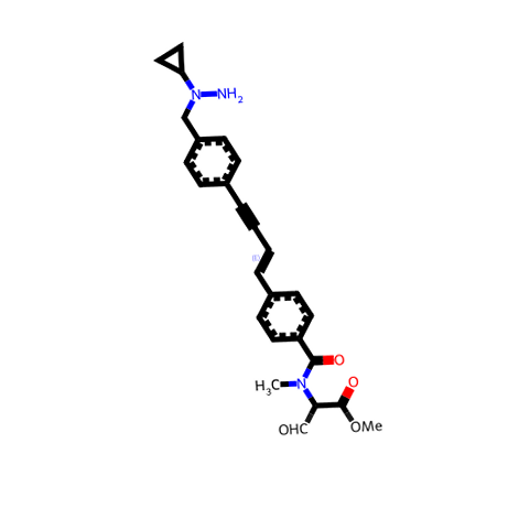 COC(=O)C(C=O)N(C)C(=O)c1ccc(/C=C/C#Cc2ccc(CN(N)C3CC3)cc2)cc1